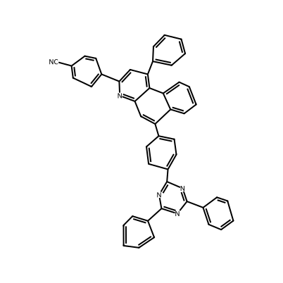 N#Cc1ccc(-c2cc(-c3ccccc3)c3c(cc(-c4ccc(-c5nc(-c6ccccc6)nc(-c6ccccc6)n5)cc4)c4ccccc43)n2)cc1